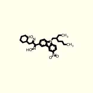 CCCCC(CC)Cn1c2ccc(C(=NO)C(CC3CCCCC3)=NO)cc2c2cc([N+](=O)[O-])ccc21